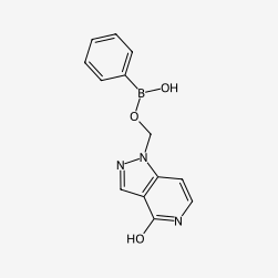 OB(OCn1ncc2c(O)nccc21)c1ccccc1